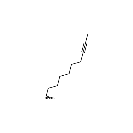 CC#CCCCCCCCCCCC